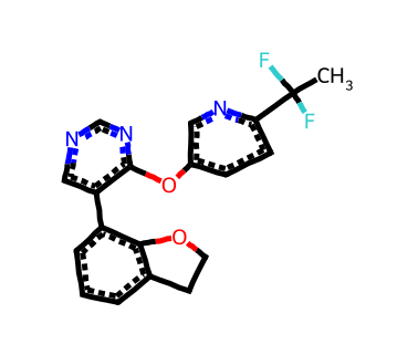 CC(F)(F)c1ccc(Oc2ncncc2-c2cccc3c2OCC3)cn1